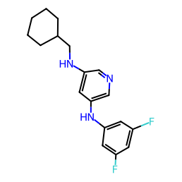 Fc1cc(F)cc(Nc2cncc(NCC3CCCCC3)c2)c1